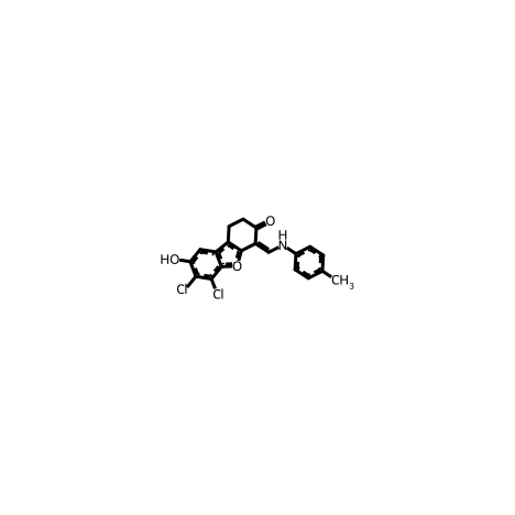 Cc1ccc(NC=C2C(=O)CCc3c2oc2c(Cl)c(Cl)c(O)cc32)cc1